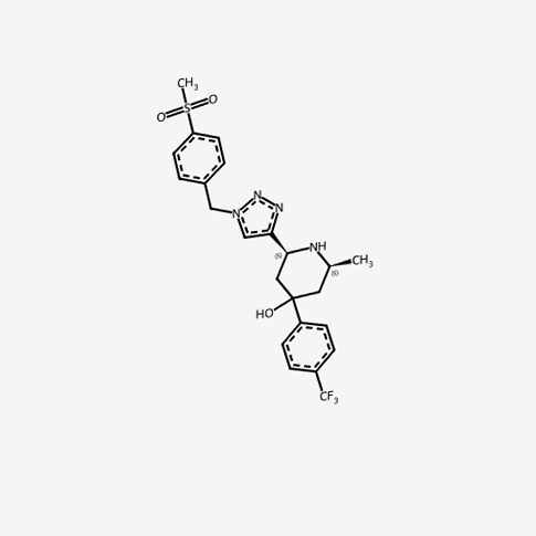 C[C@H]1CC(O)(c2ccc(C(F)(F)F)cc2)C[C@@H](c2cn(Cc3ccc(S(C)(=O)=O)cc3)nn2)N1